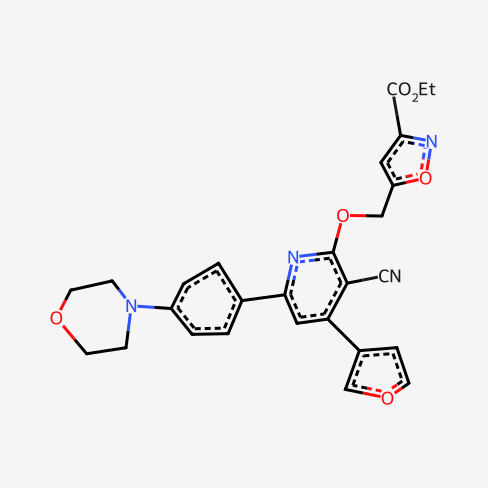 CCOC(=O)c1cc(COc2nc(-c3ccc(N4CCOCC4)cc3)cc(-c3ccoc3)c2C#N)on1